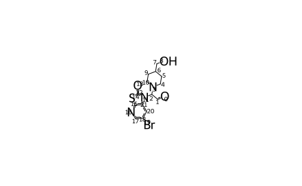 O=CC(N1CCC(CO)CC1)n1c(=O)sc2ncc(Br)cc21